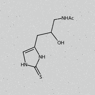 CC(=O)NCC(O)Cc1c[nH]c(=S)[nH]1